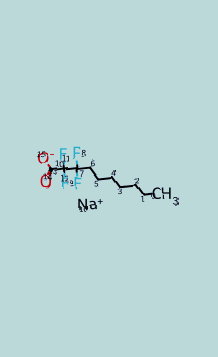 CCCCCCCC(F)(F)C(F)(F)C(=O)[O-].[Na+]